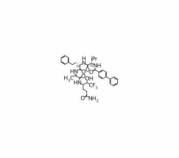 CC(C)[C@H](NC(=O)c1ccc(-c2ccccc2)cc1)C(=O)N[C@@H](CCc1ccccc1)C(=O)N[C@@H](C)C(=O)NC(CCC(N)=O)C(O)C(F)(F)F